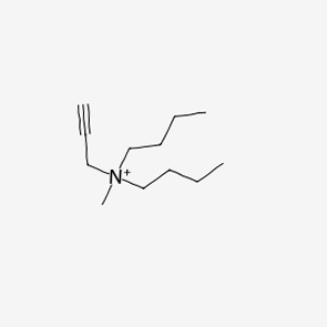 C#CC[N+](C)(CCCC)CCCC